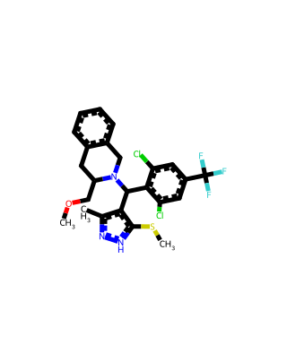 COCC1Cc2ccccc2CN1C(c1c(Cl)cc(C(F)(F)F)cc1Cl)c1c(C)n[nH]c1SC